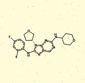 Fc1ccc(Nc2nc3cnc(NC4CCOCC4)nc3n2[C@@H]2CCOC2)c(F)c1